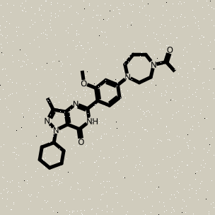 COc1cc(N2CCCN(C(C)=O)CC2)ccc1-c1nc2c(C)nn(C3CCCCC3)c2c(=O)[nH]1